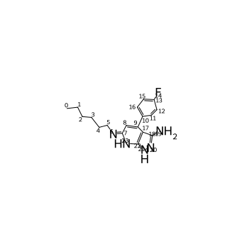 CCCCCCN=c1cc(-c2ccc(F)cc2)c2c(N)n[nH]c2[nH]1